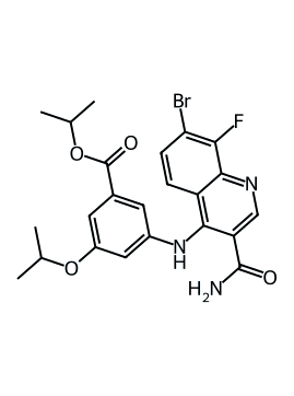 CC(C)OC(=O)c1cc(Nc2c(C(N)=O)cnc3c(F)c(Br)ccc23)cc(OC(C)C)c1